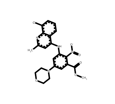 COC(=O)c1cc(N2CCOCC2)cc(Nc2cc(C)nc3c(Cl)cccc23)c1[N+](=O)[O-]